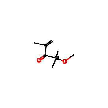 C=C(C)C(=O)[Si](C)(C)OC